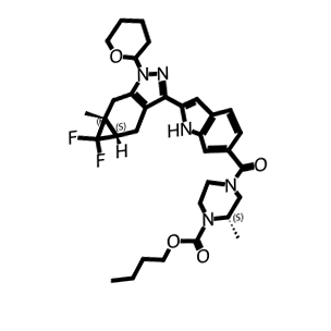 CCCCOC(=O)N1CCN(C(=O)c2ccc3cc(-c4nn(C5CCCCO5)c5c4C[C@@H]4C(F)(F)[C@]4(C)C5)[nH]c3c2)C[C@@H]1C